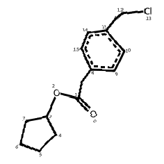 O=C(OC1CCCC1)c1ccc(CCl)cc1